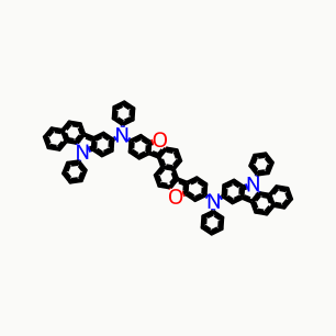 c1ccc(N(c2ccc3c(c2)oc2ccc4c(ccc5oc6cc(N(c7ccccc7)c7ccc8c(c7)c7ccc9ccccc9c7n8-c7ccccc7)ccc6c54)c23)c2ccc3c(c2)c2ccc4ccccc4c2n3-c2ccccc2)cc1